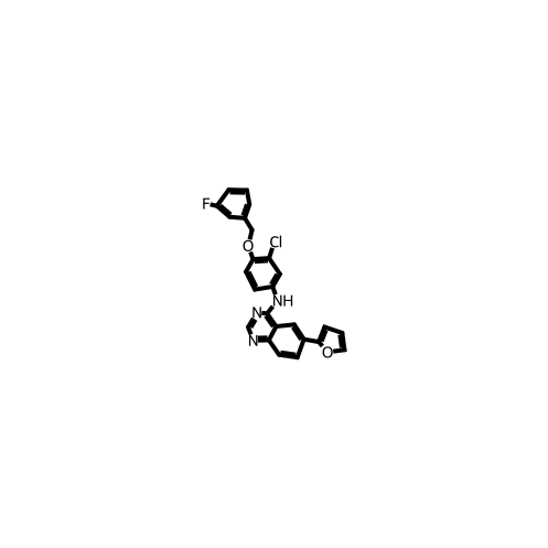 Fc1cccc(COc2ccc(Nc3ncnc4ccc(-c5ccco5)cc34)cc2Cl)c1